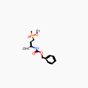 CCOP(C)(=O)C/C=C(/C=O)NC(=O)OCc1ccccc1